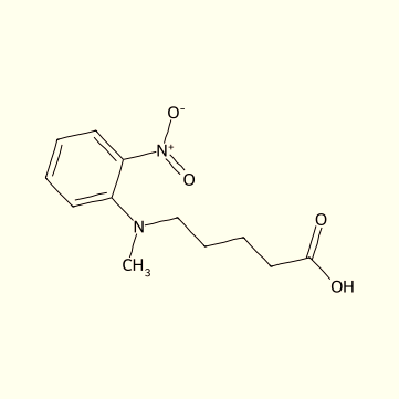 CN(CCCCC(=O)O)c1ccccc1[N+](=O)[O-]